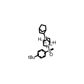 C=S(=O)(c1ccc(C(C)(C)C)cc1)N1C[C@@H]2C[C@H]1CN2C1CC2CCC1C2